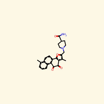 Cc1c(CN2CCC(C(N)=O)CC2)oc2c1C(=O)C(=O)c1c-2ccc2c(C)cccc12